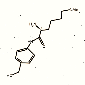 CNCCCC[C@H](N)C(=O)Nc1ccc(CO)cc1